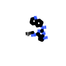 FC(F)(F)CNc1nc(Nc2ccc3ncccc3c2)nc2[nH]ccc12